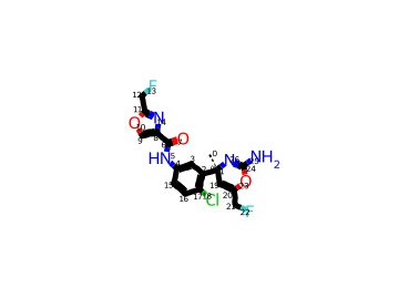 C[C@@]1(c2cc(NC(=O)c3coc(CF)n3)ccc2Cl)C=C(CF)OC(N)=N1